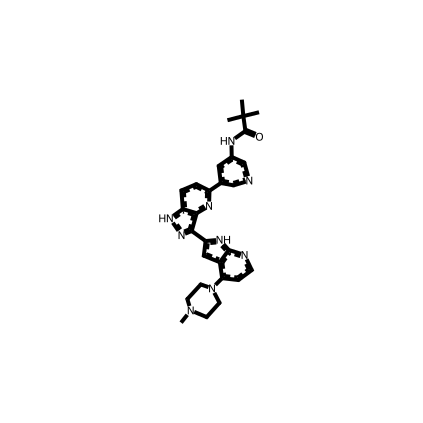 CN1CCN(c2ccnc3[nH]c(-c4n[nH]c5ccc(-c6cncc(NC(=O)C(C)(C)C)c6)nc45)cc23)CC1